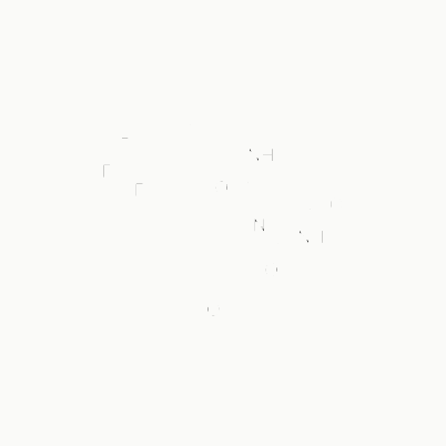 COCCOc1nc(C(=O)NC(C)c2ccc(C(F)(F)F)cc2)cc(=O)[nH]1